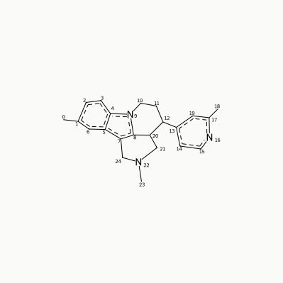 Cc1ccc2c(c1)c1c3n2CCC(c2ccnc(C)c2)C3CN(C)C1